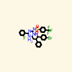 N/C(=N\C(=N\S(=O)(=O)c1ccc(C(F)(F)F)cc1)N1CCC(c2ccccc2)C(c2ccc(Br)cc2)=N1)c1ccccc1F